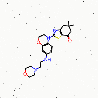 CC1(C)CC(=O)c2sc(N3CCOc4cc(NCCN5CCOCC5)ccc43)nc2C1